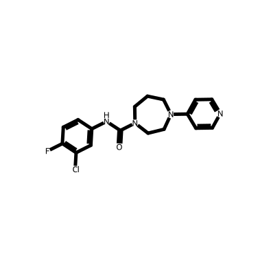 O=C(Nc1ccc(F)c(Cl)c1)N1CCCN(c2ccncc2)CC1